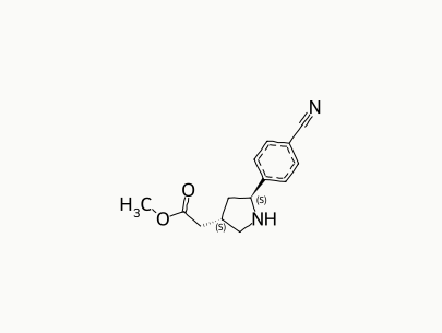 COC(=O)C[C@H]1CN[C@H](c2ccc(C#N)cc2)C1